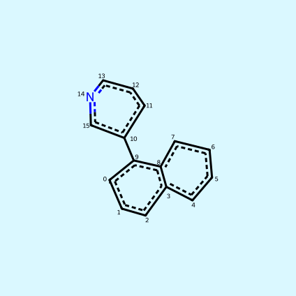 [c]1ccc2ccccc2c1-c1cccnc1